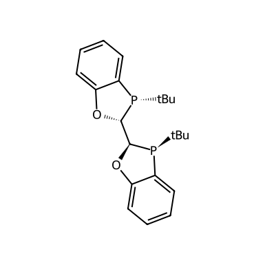 CC(C)(C)[P@@]1c2ccccc2O[C@H]1[C@@H]1Oc2ccccc2[P@]1C(C)(C)C